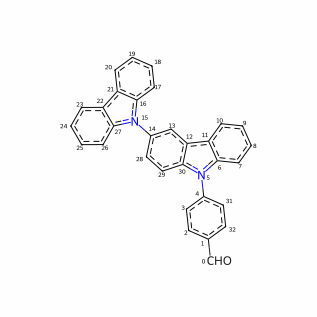 O=Cc1ccc(-n2c3ccccc3c3cc(-n4c5ccccc5c5ccccc54)ccc32)cc1